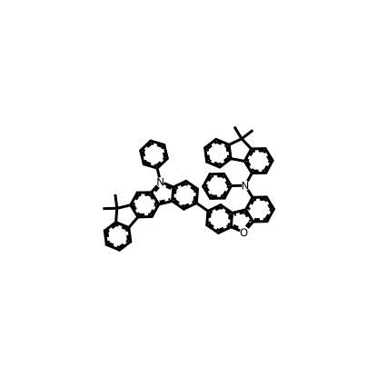 CC1(C)c2ccccc2-c2cc3c4cc(-c5ccc6oc7cccc(N(c8ccccc8)c8cccc9c8-c8ccccc8C9(C)C)c7c6c5)ccc4n(-c4ccccc4)c3cc21